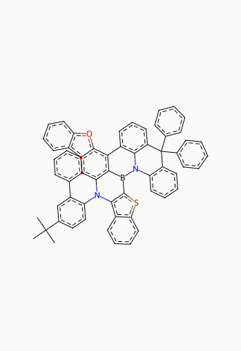 CC(C)(C)c1ccc(N2c3cc4c(oc5ccccc54)c4c3B(c3sc5ccccc5c32)N2c3ccccc3C(c3ccccc3)(c3ccccc3)c3cccc-4c32)c(-c2ccccc2)c1